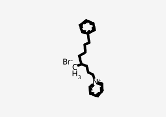 CC(CCCCc1ccccc1)CCC[n+]1ccccc1.[Br-]